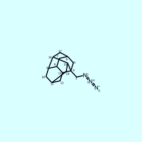 [N-]=[N+]=NCC12CC3CC4C5CC(CC41)CC2C5C3